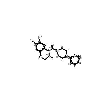 C[C@H]1COc2cc(F)c(F)cc2N1C(=O)N1CCN(c2cccnn2)CC1